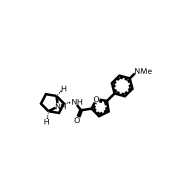 CNc1ccc(-c2ccc(C(=O)N[C@@H]3C[C@H]4CC[C@@H]3N4)o2)cc1